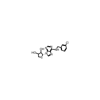 OC1CS[C@@H](n2cnc3c(NCc4cccc(Cl)c4)ncnc32)C1O